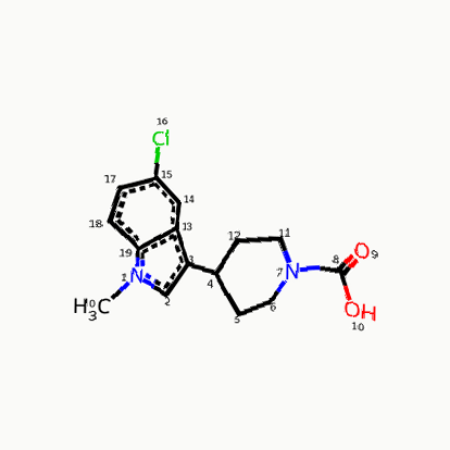 Cn1cc(C2CCN(C(=O)O)CC2)c2cc(Cl)ccc21